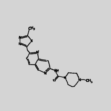 Cc1nnc(-c2ccc3cnc(NC(=O)N4CCN(C)CC4)cc3n2)s1